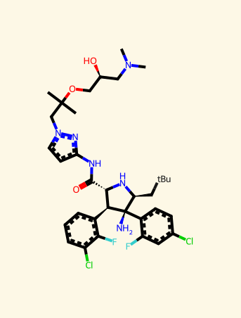 CN(C)C[C@H](O)COC(C)(C)Cn1ccc(NC(=O)[C@@H]2N[C@@H](CC(C)(C)C)[C@](N)(c3ccc(Cl)cc3F)[C@H]2c2cccc(Cl)c2F)n1